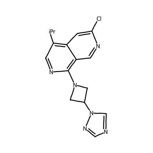 CC(C)c1cnc(N2CC(n3cncn3)C2)c2cnc(Cl)cc12